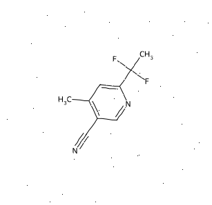 Cc1cc(C(C)(F)F)ncc1C#N